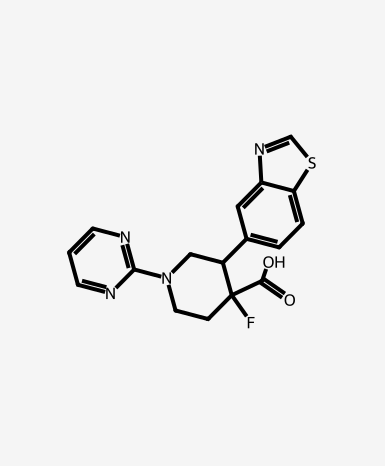 O=C(O)C1(F)CCN(c2ncccn2)CC1c1ccc2scnc2c1